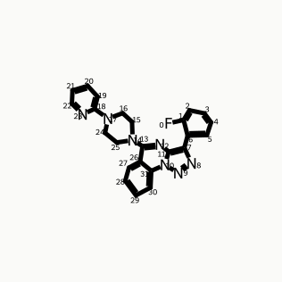 Fc1ccccc1-c1nnn2c1nc(N1CCN(c3ccccn3)CC1)c1ccccc12